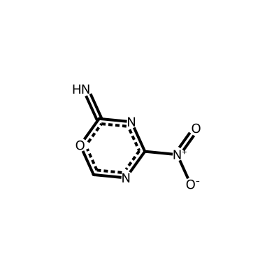 N=c1nc([N+](=O)[O-])nco1